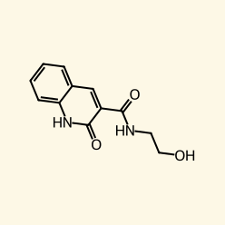 O=C(NCCO)c1cc2ccccc2[nH]c1=O